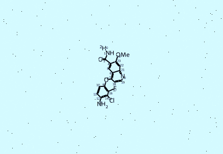 [2H]NC(=O)c1cc2c(Oc3ccc(N)c(Cl)c3F)ccnc2cc1OC